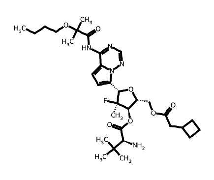 CCCCOC(C)(C)C(=O)Nc1ncnn2c([C@@H]3O[C@H](COC(=O)CC4CCC4)[C@@H](OC(=O)[C@@H](N)C(C)(C)C)[C@@]3(C)F)ccc12